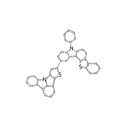 c1ccc(-n2c3ccc(-c4cc5c(s4)c4cccc6c7ccccc7n5c64)cc3c3c4sc5ccccc5c4ccc32)cc1